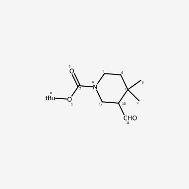 CC(C)(C)OC(=O)N1CCC(C)(C)C(C=O)C1